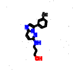 CC(=O)c1cccc(-c2cnc3ccc(NCCCO)nn23)c1